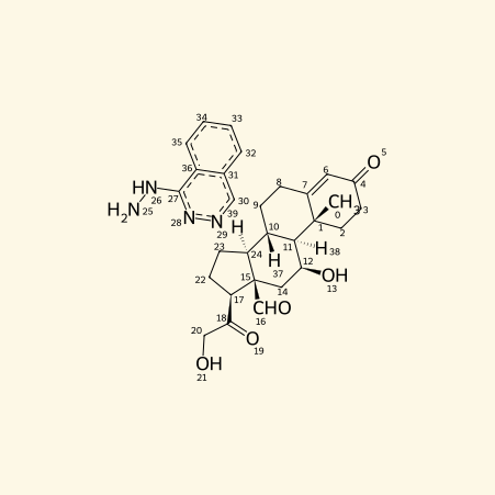 C[C@]12CCC(=O)C=C1CC[C@@H]1[C@@H]2[C@@H](O)C[C@]2(C=O)[C@@H](C(=O)CO)CC[C@@H]12.NNc1nncc2ccccc12